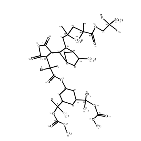 CCC(C)(C(=O)OC1CC(C(C)(OC(=O)OC(C)(C)C)C(F)(F)F)CC(C(OC(=O)OC(C)(C)C)(C(F)(F)F)C(F)(F)F)C1)C1C(=O)OC(=O)C1C1C2CC(C(=O)O)C(C2)C1CC(C)(CC(C)(C)C(=O)OCC(F)(F)S(=O)(=O)O)C(=O)O